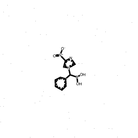 O=[N+]([O-])c1cn(C(B(O)O)c2ccccc2)cn1